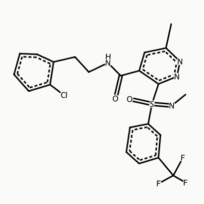 CN=S(=O)(c1cccc(C(F)(F)F)c1)c1nnc(C)cc1C(=O)NCCc1ccccc1Cl